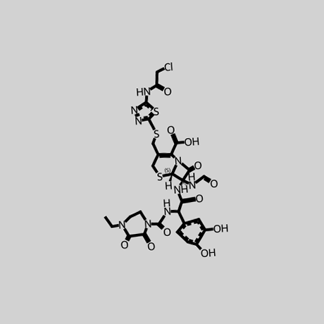 CCN1CCN(C(=O)NC(C(=O)N[C@]2(NC=O)C(=O)N3C(C(=O)O)=C(CSc4nnc(NC(=O)CCl)s4)CS[C@H]32)c2ccc(O)c(O)c2)C(=O)C1=O